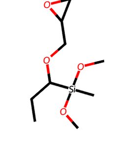 CCC(OCC1CO1)[Si](C)(OC)OC